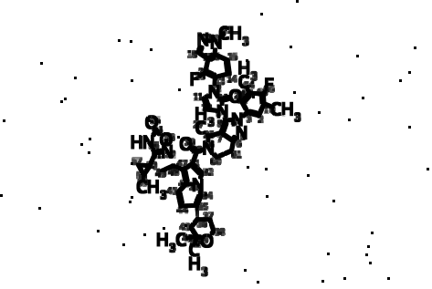 Cc1cc(-n2nc3c(c2-n2ccn(-c4ccc5c(cnn5C)c4F)c2=O)[C@H](C)N(C(=O)c2cn4cc([C@H]5CCOC(C)(C)C5)ccc4c2CC[C@@]2(c4noc(=O)[nH]4)C[C@@H]2C)CC3)cc(C)c1F